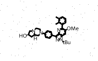 COc1cc2c(nc1-c1cccc(C)c1C)c(-c1ccc(N3CCN4C[C@H](O)C[C@H]4C3)cc1)nn2C(C)(C)C